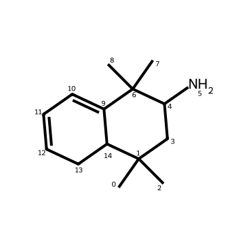 CC1(C)CC(N)C(C)(C)C2=CC=CCC21